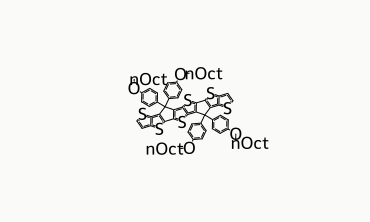 CCCCCCCCOc1ccc(C2(c3ccc(OCCCCCCCC)cc3)c3c(sc4ccsc34)-c3sc4c5c(sc4c32)-c2sc3ccsc3c2C5(c2ccc(OCCCCCCCC)cc2)c2ccc(OCCCCCCCC)cc2)cc1